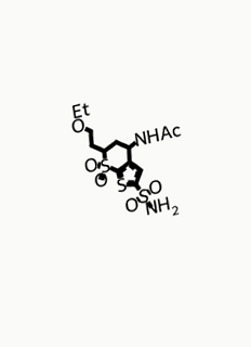 CCOCCC1CC(NC(C)=O)c2cc(S(N)(=O)=O)sc2S1(=O)=O